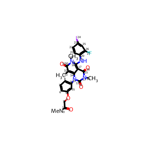 CNC(=O)COc1cccc(-n2c(=O)n(C)c(=O)c3c(Nc4ccc(I)cc4F)n(C)c(=O)c(C)c32)c1